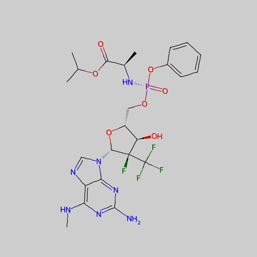 CNc1nc(N)nc2c1ncn2[C@@H]1O[C@H](CO[P@@](=O)(N[C@H](C)C(=O)OC(C)C)Oc2ccccc2)[C@@H](O)[C@]1(F)C(F)(F)F